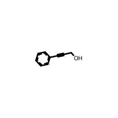 OCC#Cc1[c]cccc1